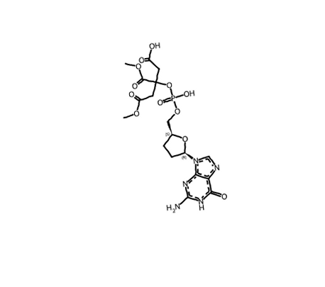 COC(=O)CC(CC(=O)O)(OP(=O)(O)OC[C@@H]1CC[C@H](n2cnc3c(=O)[nH]c(N)nc32)O1)C(=O)OC